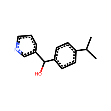 CC(C)c1ccc(C(O)c2cccnc2)cc1